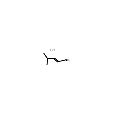 CC(C)C=CN.Cl